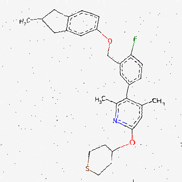 Cc1cc(OC2CCSCC2)nc(C)c1-c1ccc(F)c(COc2ccc3c(c2)CC(C)C3)c1